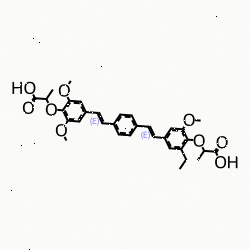 CCc1cc(/C=C/c2ccc(/C=C/c3cc(OC)c(OC(C)C(=O)O)c(OC)c3)cc2)cc(OC)c1OC(C)C(=O)O